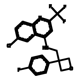 Fc1ccc(C2(CNc3cc(C(F)(F)F)nc4ccc(Cl)cc34)COC2)cc1